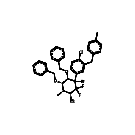 CC[C@@H]1[C@@H](C)[C@H](OCc2ccccc2)[C@@H](OCc2ccccc2)C(Br)(c2ccc(Cl)c(Cc3ccc(C)cc3)c2)C1(F)F